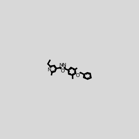 CCc1cc(-c2nnc(-c3cc(C)c(OCc4ccccc4)c(C)c3)o2)cc(C)n1